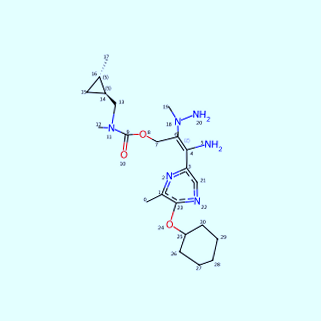 Cc1nc(/C(N)=C(\COC(=O)N(C)C[C@H]2C[C@@H]2C)N(C)N)cnc1OC1CCCCC1